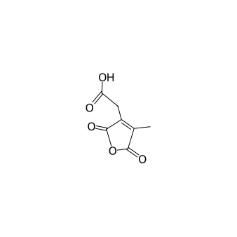 CC1=C(CC(=O)O)C(=O)OC1=O